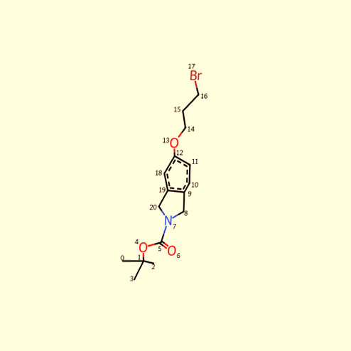 CC(C)(C)OC(=O)N1Cc2ccc(OCCCBr)cc2C1